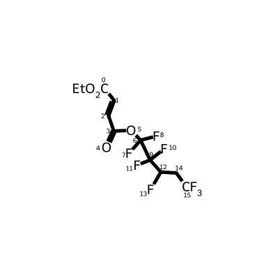 CCOC(=O)C=CC(=O)OC(F)(F)C(F)(F)C(F)CC(F)(F)F